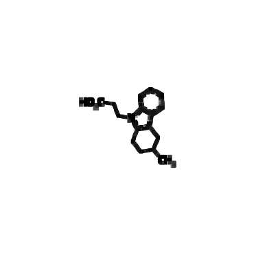 CC1CCc2c(c3ccccc3n2CCC(=O)O)C1